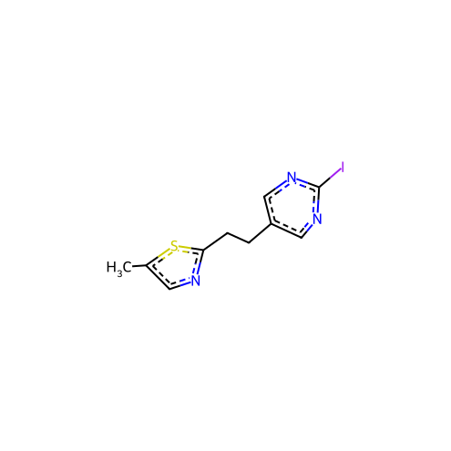 Cc1cnc(CCc2cnc(I)nc2)s1